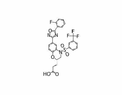 O=C(O)CC[C@H]1CN(S(=O)(=O)c2cccc(C(F)(F)F)c2)c2cc(-c3noc(-c4ccccc4F)n3)ccc2O1